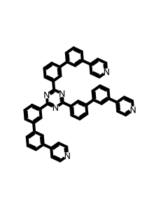 c1cc(-c2ccncc2)cc(-c2cccc(-c3nc(-c4cccc(-c5cccc(-c6ccncc6)c5)c4)nc(-c4cccc(-c5cccc(-c6ccncc6)c5)c4)n3)c2)c1